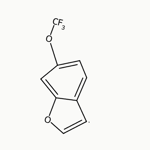 FC(F)(F)Oc1ccc2[c]coc2c1